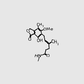 COc1c(C)c2c(c(O)c1C/C=C(\C)CCC(=O)NI)C(=O)OC2